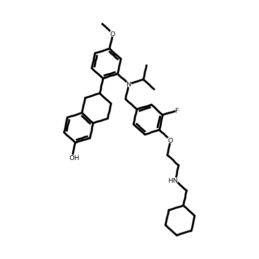 COc1ccc(C2CCc3cc(O)ccc3C2)c(N(Cc2ccc(OCCNCC3CCCCC3)c(F)c2)C(C)C)c1